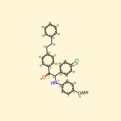 COc1ccc(NC(C(=O)c2ccc(CCc3ccccc3)cc2)c2ccc(Cl)cc2)cc1